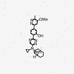 COc1cc(-c2ccc(-c3ncc(N(C4CC4)[C@H]4C[C@@H]5CCC[C@](C)(C4)N5)nn3)c(O)c2)nnc1C